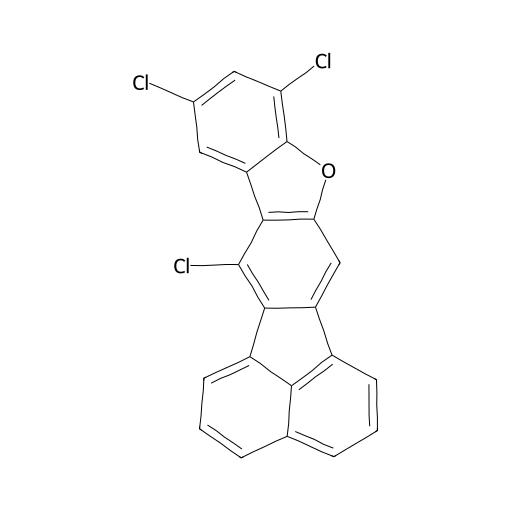 Clc1cc(Cl)c2oc3cc4c(c(Cl)c3c2c1)-c1cccc2cccc-4c12